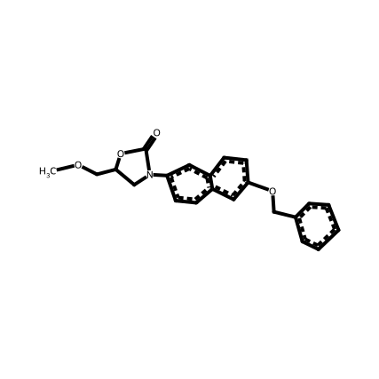 COCC1CN(c2ccc3cc(OCc4ccccc4)ccc3c2)C(=O)O1